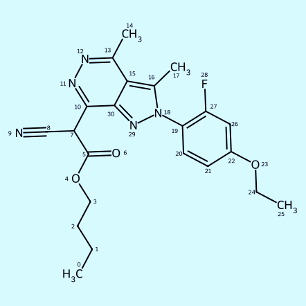 CCCCOC(=O)C(C#N)c1nnc(C)c2c(C)n(-c3ccc(OCC)cc3F)nc12